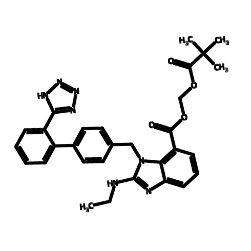 CCNc1nc2cccc(C(=O)OCOC(=O)C(C)(C)C)c2n1Cc1ccc(-c2ccccc2-c2nnn[nH]2)cc1